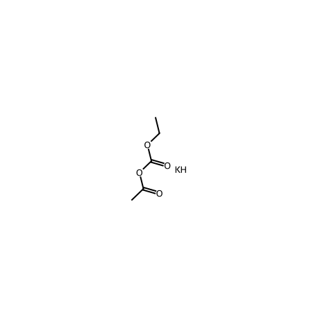 CCOC(=O)OC(C)=O.[KH]